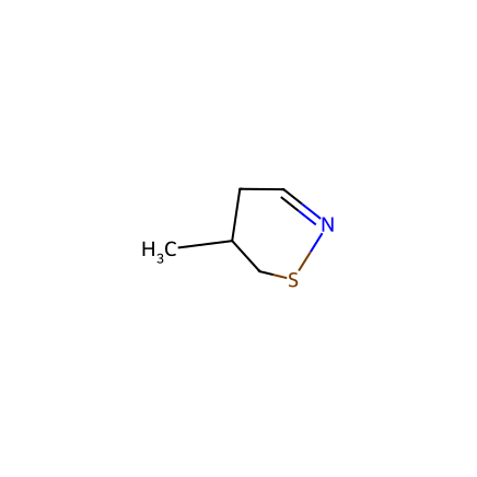 CC1CC=NSC1